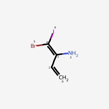 C=C/C(N)=C(\Br)I